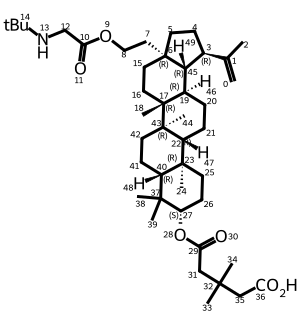 C=C(C)[C@@H]1CC[C@]2(CCOC(=O)CNC(C)(C)C)CC[C@]3(C)[C@H](CC[C@@H]4[C@@]5(C)CC[C@H](OC(=O)CC(C)(C)CC(=O)O)C(C)(C)[C@@H]5CC[C@]43C)[C@@H]12